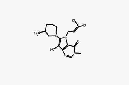 Cn1cnc2c(C#N)c(N3CCCC(N)C3)n(CC=C(Cl)Cl)c2c1=O